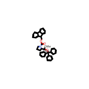 COC(OC)(OC(c1ccccc1)(c1ccccc1)c1ccccc1)C1CCCN1C(=O)OCC1c2ccccc2-c2ccccc21